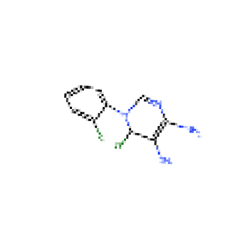 NC1=C(N)C(Cl)N(c2ccccc2Cl)C=N1